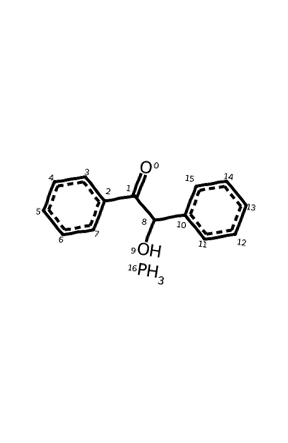 O=C(c1ccccc1)C(O)c1ccccc1.P